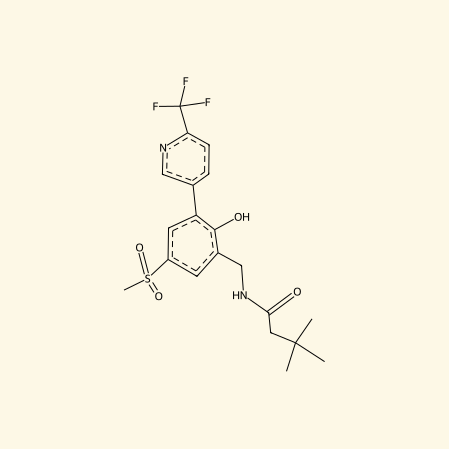 CC(C)(C)CC(=O)NCc1cc(S(C)(=O)=O)cc(-c2ccc(C(F)(F)F)nc2)c1O